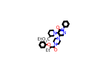 CCOC(=O)C1CCCN(c2c(N3CCN(C(=O)C(CC)Oc4ccccc4)CC3)cnn(-c3ccccc3)c2=O)C1